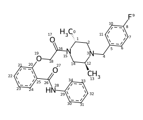 C[C@@H]1CN(Cc2ccc(F)cc2)[C@@H](C)CN1C(=O)COc1ccccc1C(=O)Nc1ccccc1